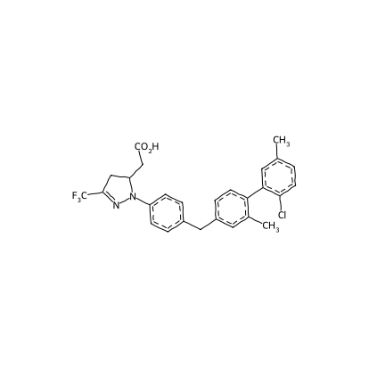 Cc1ccc(Cl)c(-c2ccc(Cc3ccc(N4N=C(C(F)(F)F)CC4CC(=O)O)cc3)cc2C)c1